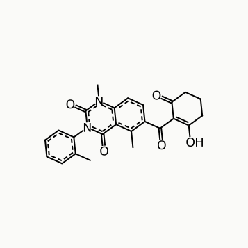 Cc1ccccc1-n1c(=O)c2c(C)c(C(=O)C3=C(O)CCCC3=O)ccc2n(C)c1=O